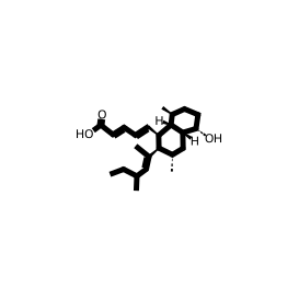 CCC(C)/C=C(\C)[C@H]1[C@@H](/C=C/C=C/C(=O)O)[C@H]2[C@@H](C[C@@H]1C)[C@@H](O)CC[C@@H]2C